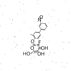 Cc1cc(-c2cccc(N=O)c2)ccc1O[C@H]1O[C@H](CO)[C@@H](O)[C@H](O)[C@@H]1F